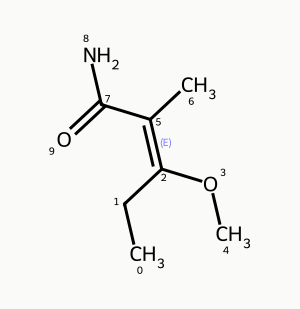 CC/C(OC)=C(/C)C(N)=O